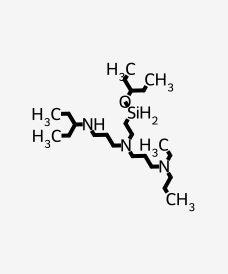 CCCN(CC)CCCN(CCCNC(CC)CC)CC[SiH2]OC(CC)CC